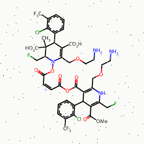 COC(=O)C1=C(CF)NC(COCCN)=C(C(=O)OC(=O)/C=C\C(=O)ON2C(COCCN)=C(C(=O)O)C(c3cccc(C(F)(F)F)c3Cl)C(C)(C(=O)O)C2CF)C1c1cccc(C(F)(F)F)c1Cl